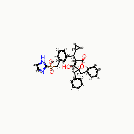 O=C1OC(Cc2ccccc2)(Cc2ccccc2)C(O)=C1C(c1cccc(CS(=O)(=O)c2ncc[nH]2)c1)C1CC1